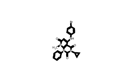 Cn1c(=O)cc(Nc2ccc(Br)cc2)c2c(=O)n(C3CC3)c(=O)n(-c3ccccc3)c21